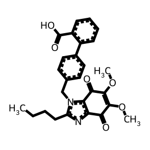 CCCCc1nc2c(n1Cc1ccc(-c3ccccc3C(=O)O)cc1)C(=O)C(OC)=C(OC)C2=O